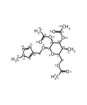 CC(=O)OCC1O[C@@H](OCc2cn(C)nn2)[C@@H](OC(C)=O)C(OC(C)=O)[C@H]1C